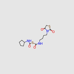 O=C(NCCCCN1C(=O)CSC1=O)SC(=O)NC1CCCC1